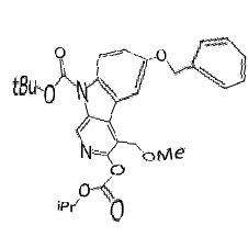 COCc1c(OC(=O)OC(C)C)ncc2c1c1cc(OCc3ccccc3)ccc1n2C(=O)OC(C)(C)C